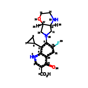 O=C(O)c1c[nH]c2c(C3CC3)c(N3C[C@@H]4NCCO[C@H]4C3)c(F)cc2c1=O